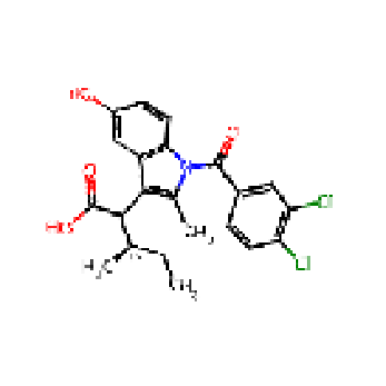 CC[C@@H](C)C(C(=O)O)c1c(C)n(C(=O)c2ccc(Cl)c(Cl)c2)c2ccc(O)cc12